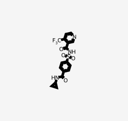 O=C(NC1CC1)c1ccc(S(=O)(=O)NC(=O)c2cnccc2C(F)(F)F)cc1